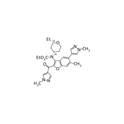 CCOC(=O)N(c1c(C(=O)c2cnn(C)c2)oc2cc(C)c(-c3cnn(C)c3)cc12)[C@H]1CCO[C@@H](CC)C1